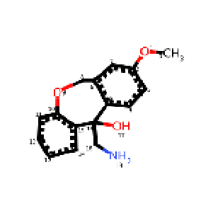 COc1ccc2c(c1)COc1ccccc1C2(O)CN